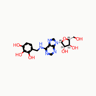 OC[C@H]1O[C@@H](n2cnc3c(NCc4ccc(O)c(O)c4O)ncnc32)[C@@H](O)[C@@H]1O